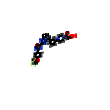 Cc1nc(-c2nc(-c3ccc(OC(F)(F)F)cc3)no2)nn1Cc1cccc(N2CCN(C(=O)CO)CC2)c1